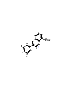 C=C(/C=C\c1ccccc1NC)c1cc(C)cc(C)c1